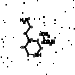 CC(=O)O.NCCN1CCNCC1